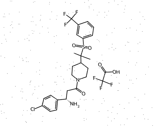 CC(C)(C1CCN(C(=O)C[C@H](N)c2ccc(Cl)cc2)CC1)S(=O)(=O)c1cccc(C(F)(F)F)c1.O=C(O)C(F)(F)F